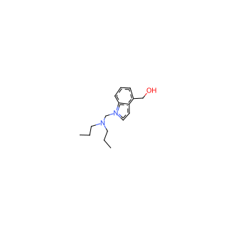 CCCN(CCC)Cn1ccc2c(CO)cccc21